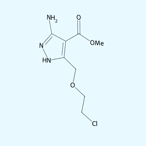 COC(=O)c1c(N)n[nH]c1COCCCl